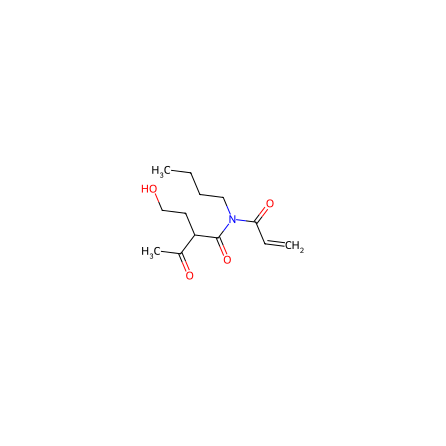 C=CC(=O)N(CCCC)C(=O)C(CCO)C(C)=O